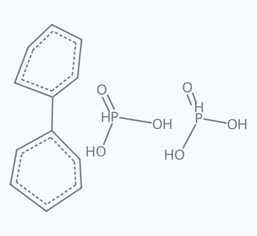 O=[PH](O)O.O=[PH](O)O.c1ccc(-c2ccccc2)cc1